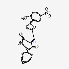 O=C1NN(c2ccccc2)C(=O)/C1=C/c1ccc(-c2cc([N+](=O)[O-])ccc2O)o1